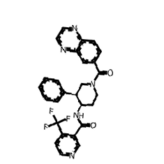 O=C(N[C@@H]1CCN(C(=O)c2ccc3nccnc3c2)C[C@@H]1c1ccccc1)c1cnccc1C(F)(F)F